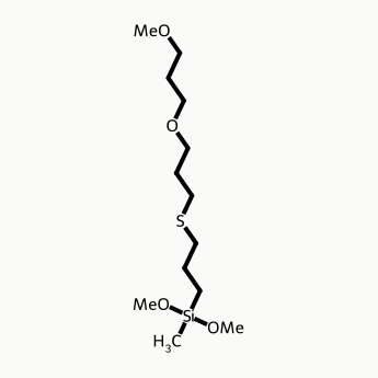 COCCCOCCCSCCC[Si](C)(OC)OC